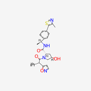 Cc1ncsc1-c1ccc([C@H](C)NC(=O)[C@@H]2C[C@@H](O)CN2C(=O)C(c2ccno2)C(C)C)cc1